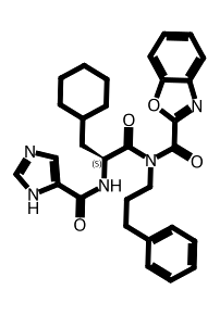 O=C(N[C@@H](CC1CCCCC1)C(=O)N(CCCc1ccccc1)C(=O)c1nc2ccccc2o1)c1cnc[nH]1